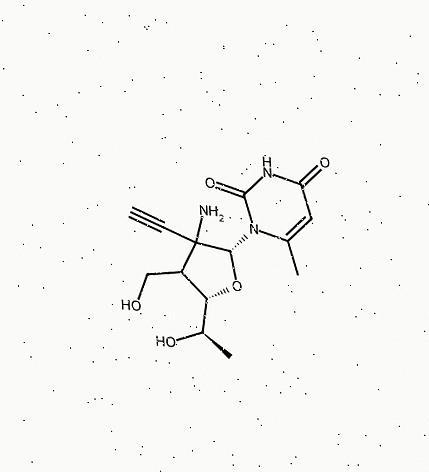 C#CC1(N)C(CO)[C@@H]([C@@H](C)O)O[C@H]1n1c(C)cc(=O)[nH]c1=O